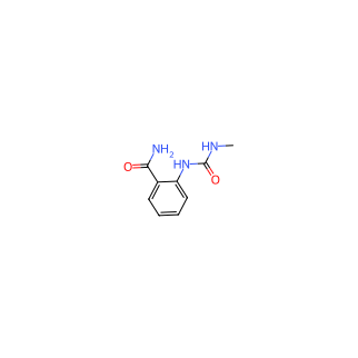 CNC(=O)Nc1ccccc1C(N)=O